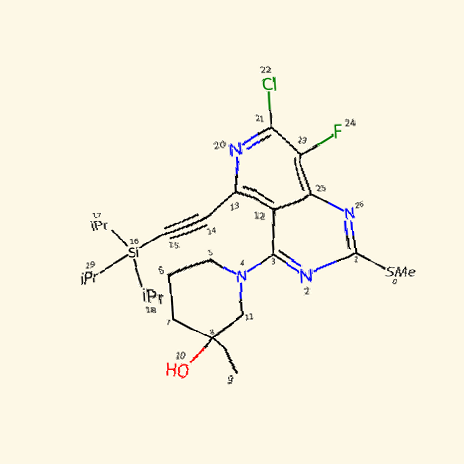 CSc1nc(N2CCCC(C)(O)C2)c2c(C#C[Si](C(C)C)(C(C)C)C(C)C)nc(Cl)c(F)c2n1